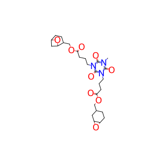 Cn1c(=O)n(CCCC(=O)OCC2CCC3OC3C2)c(=O)n(CCCC(=O)OCC2CCC3CC2O3)c1=O